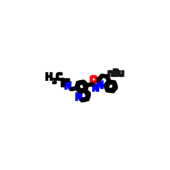 CCCCC(Cc1nnc(-c2ccc(CN3CC(C)C3)c3ncccc23)o1)c1ccccc1